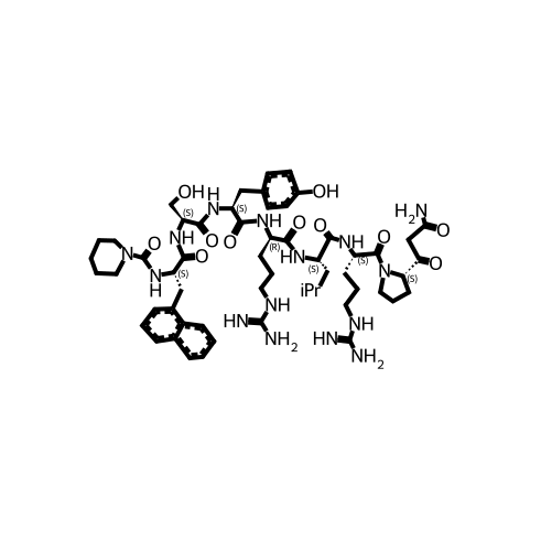 CC(C)C[C@H](NC(=O)[C@@H](CCCNC(=N)N)NC(=O)[C@H](Cc1ccc(O)cc1)NC(=O)[C@H](CO)NC(=O)[C@H](Cc1cccc2ccccc12)NC(=O)N1CCCCC1)C(=O)N[C@@H](CCCNC(=N)N)C(=O)N1CCC[C@H]1C(=O)CC(N)=O